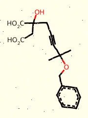 CC(C)(C#CCC(O)(CC(=O)O)C(=O)O)OCc1ccccc1